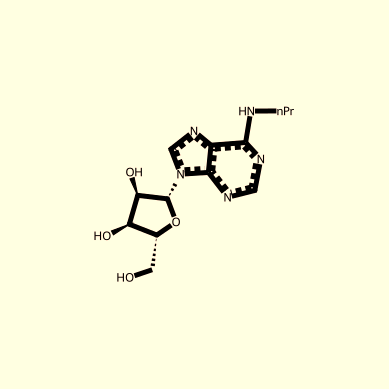 CCCNc1ncnc2c1ncn2[C@@H]1O[C@H](CO)[C@@H](O)[C@H]1O